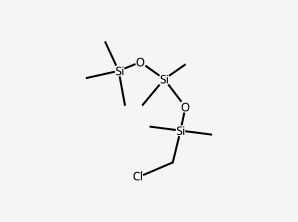 C[Si](C)(C)O[Si](C)(C)O[Si](C)(C)CCl